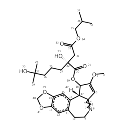 COC1=CC23CCCN2CCc2cc4c(cc2[C@@H]3C1OC(=O)[C@@](O)(CCCC(C)(C)O)CC(=O)OCC(C)C)OCO4